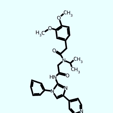 COc1ccc(CC(=O)N(CC(=O)Nc2nc(-c3ccncc3)cn2-c2ccccc2)C(C)C)cc1OC